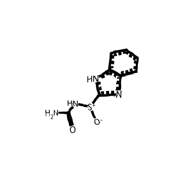 NC(=O)N[S+]([O-])c1nc2ccccc2[nH]1